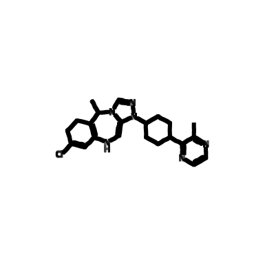 Cc1nccnc1C1CCC(N2N=CN3C2=CNC2=C(CCC(Cl)=C2)C3C)CC1